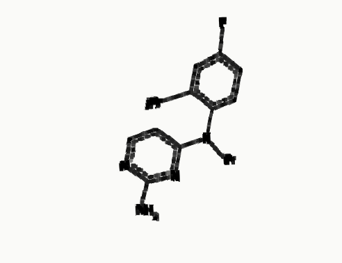 CC(C)c1cc(F)ccc1N(c1ccnc(N)n1)C(C)C